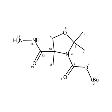 CC(C)(C)OC(=O)N1C(C)(C)OCC1(C)C(=O)NN